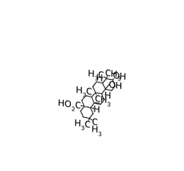 CC1(C)CC[C@]2(C(=O)O)CC[C@]3(C)C(=CC[C@@H]4C5(CO)CC[C@H](O)C(C)(C)[C@@H]5CC[C@]43C)[C@@H]2C1